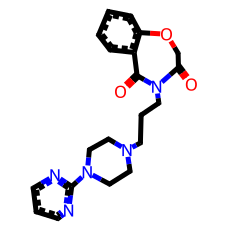 O=C1COc2ccccc2C(=O)N1CCCN1CCN(c2ncccn2)CC1